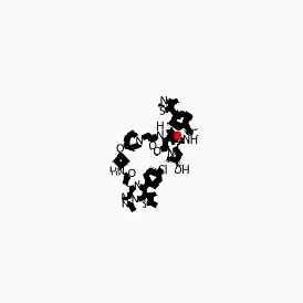 Cc1ncsc1-c1ccc([C@H](C)NC(=O)[C@H]2C[C@@H](O)CN2C(=O)[C@@H](NC(=O)CN2CCC(O[C@H]3C[C@H](NC(=O)C[C@@H]4N=C(c5ccc(Cl)cc5)c5c(sc(C)c5C)-n5c(C)nnc54)C3)CC2)C(C)(C)C)cc1